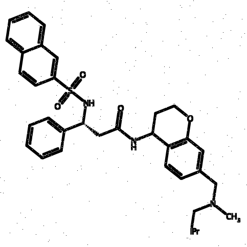 CC(C)CN(C)Cc1ccc2c(c1)OCCC2NC(=O)C[C@@H](NS(=O)(=O)c1ccc2ccccc2c1)c1ccccc1